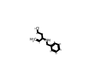 C=CC(CCCl)NCc1ccccc1